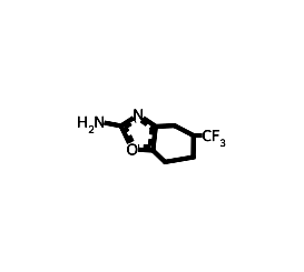 Nc1nc2c(o1)CCC(C(F)(F)F)C2